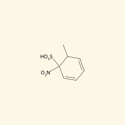 CC1C=CC=CC1([N+](=O)[O-])S(=O)(=O)O